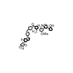 CO[C@@H]1C[C@H](c2ccc(C(=O)N3CCC(CN4CCC(n5ccc6cc(N7CCC(=O)NC7=O)c(F)cc65)CC4)CC3)cc2C)CN(c2cc(-c3ccccc3O)nnc2N)C1